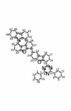 c1ccc(-c2nc(-c3ccccc3)nc(-c3cccc4c3oc3ccc(-c5cccc6c5oc5cccc(-n7c8ccccc8c8ccccc87)c56)cc34)n2)cc1